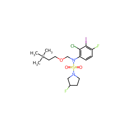 C[Si](C)(C)CCOCN(c1ccc(F)c(I)c1Cl)S(=O)(=O)N1CCC(F)C1